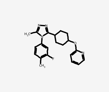 Cc1ccc(-n2c(C)nnc2C2CCC(Oc3ccccn3)CC2)cc1F